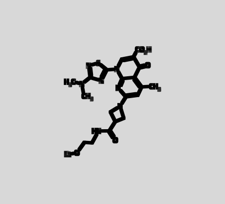 CCOCCNC(=O)C1CN(c2cc(C)c3c(=O)c(C(=O)O)cn(-c4nc(N(C)C)ns4)c3n2)C1